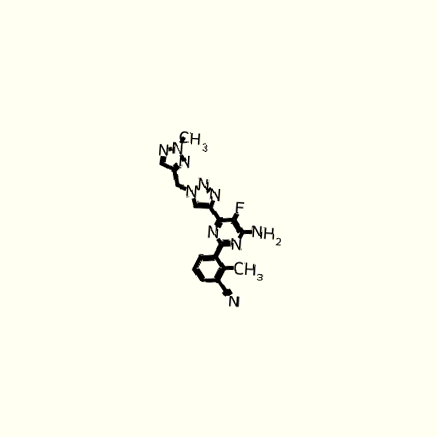 Cc1c(C#N)cccc1-c1nc(N)c(F)c(-c2cn(Cc3cnn(C)n3)nn2)n1